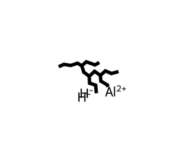 CCCCC(CCC)CC(CCC)CC(CCC)C[CH2][Al+2].[H-].[H-]